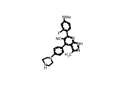 CNc1ccc(-c2nc3[nH]nc(C)c3c(-c3ccc(N4CCNCC4)cc3)c2C#N)c(F)c1